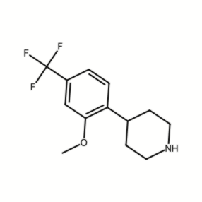 COc1cc(C(F)(F)F)ccc1C1CCNCC1